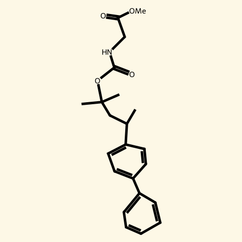 COC(=O)CNC(=O)OC(C)(C)CC(C)c1ccc(-c2ccccc2)cc1